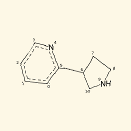 [c]1cccnc1C1CCNC1